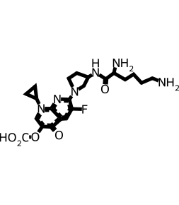 NCCCCC(N)C(=O)NC1CCN(c2nc3c(cc2F)c(=O)c(OC(=O)O)cn3C2CC2)C1